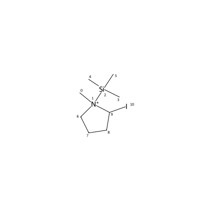 C[N+]1([Si](C)(C)C)CCCC1I